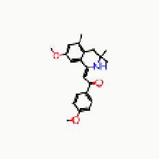 COc1ccc(C(=O)C=C2NC(C)(C)Cc3c(C)cc(OC)cc32)cc1